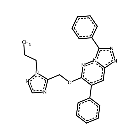 CCCn1ncnc1COc1nn2c(-c3ccccc3)nnc2cc1-c1ccccc1